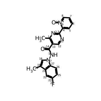 Cc1nc(-c2cccc[n+]2[O-])ncc1C(=O)Nn1cc(C)c2cc(F)ccc21